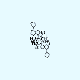 CCC1=Cc2c(-c3ccccc3)cccc2[CH]1[Zr]([CH3])([CH3])[C](C)(C)[Zr]([CH3])([CH3])[CH]1C(CC)=Cc2c(-c3ccccc3)cccc21